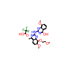 COCCOc1c(OC)ccc2c(C)nc(Nc3nc(O)c4cccc(OC)c4n3)nc12.O=C(O)C(F)(F)F